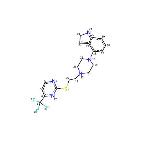 FC(F)(F)c1ccnc(SCCN2CCN(c3cccc4c3=CCN=4)CC2)n1